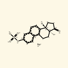 C[C@]12CCc3c(ccc4cc(OS(=O)(=O)[O-])ccc34)[C@@H]1CCC2=O.[Na+]